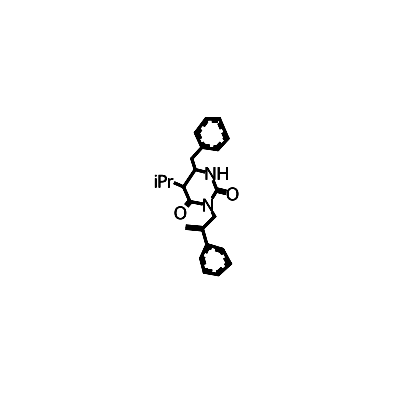 C=C(CN1C(=O)NC(Cc2ccccc2)C(C(C)C)C1=O)c1ccccc1